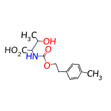 Cc1ccc(CCOC(=O)NC(C(=O)O)C(C)O)cc1